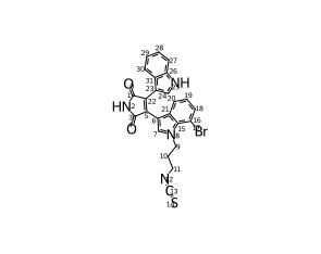 O=C1NC(=O)C(c2cn(CCCN=C=S)c3c(Br)cccc23)=C1c1c[nH]c2ccccc12